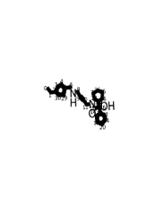 CCc1ccc(CNCC#CCNC(=O)C(O)(c2ccccc2)C2CCCCC2)cc1